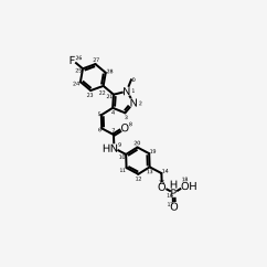 Cn1ncc(/C=C\C(=O)Nc2ccc(CO[PH](=O)O)cc2)c1-c1ccc(F)cc1